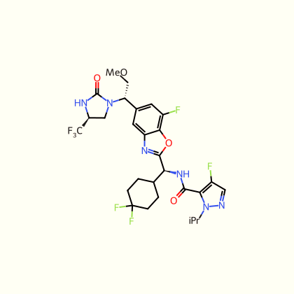 COC[C@H](c1cc(F)c2oc([C@@H](NC(=O)c3c(F)cnn3C(C)C)C3CCC(F)(F)CC3)nc2c1)N1C[C@@H](C(F)(F)F)NC1=O